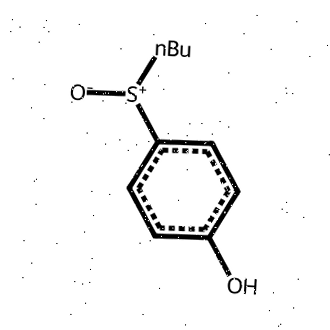 CCCC[S+]([O-])c1ccc(O)cc1